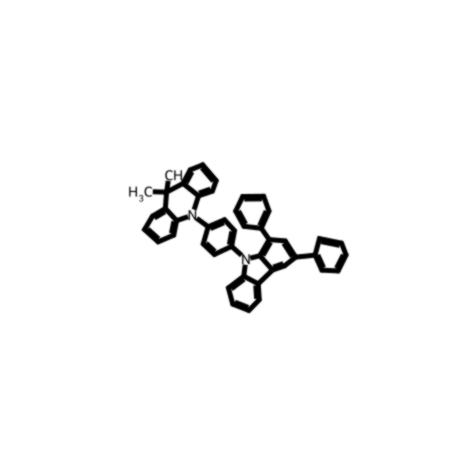 CC1(C)c2ccccc2N(c2ccc(-n3c4ccccc4c4cc(-c5ccccc5)cc(-c5ccccc5)c43)cc2)c2ccccc21